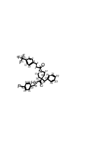 O=C(CCc1ccc(C(F)(F)F)cc1)N1CCC(Cc2ccccc2)(C(=O)NCc2ccc(F)cc2)CC1